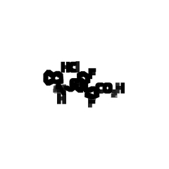 C[C@@H](NCCC1CN(c2cc(F)cc(C(=O)O)c2)c2cc(F)ccc2O1)c1cccc2ccccc12.Cl